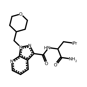 CC(C)CC(NC(=O)c1nn(CC2CCOCC2)c2ncccc12)C(N)=O